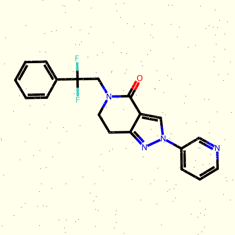 O=C1c2cn(-c3cccnc3)nc2CCN1CC(F)(F)c1ccccc1